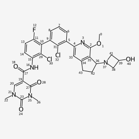 COc1nc(-c2cccc(-c3c(F)ccc(NC(=O)c4cn(C)c(=O)n(C)c4=O)c3Cl)c2Cl)cc2c1C(N1CC(O)C1)CC2